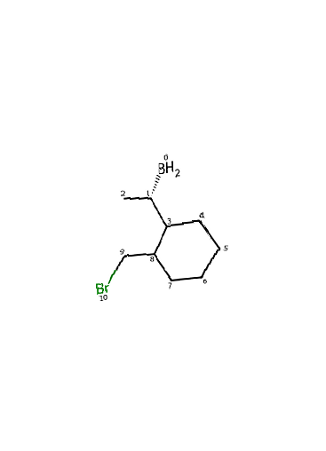 B[C@@H](C)C1CCCCC1CBr